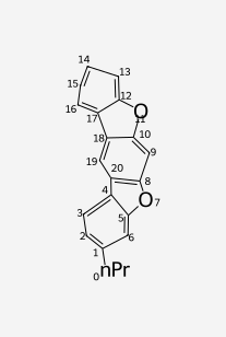 CCCc1ccc2c(c1)oc1cc3oc4ccccc4c3cc12